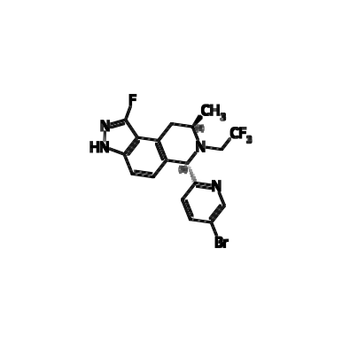 C[C@@H]1Cc2c(ccc3[nH]nc(F)c23)[C@@H](c2ccc(Br)cn2)N1CC(F)(F)F